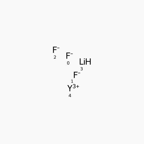 [F-].[F-].[F-].[LiH].[Y+3]